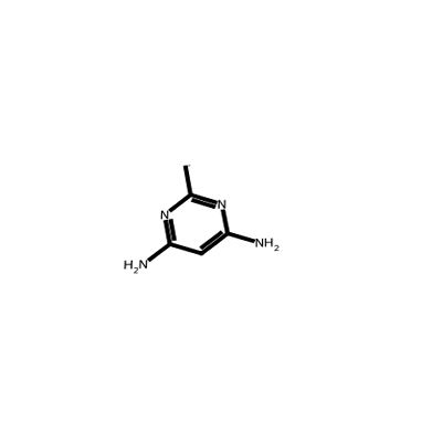 [CH2]c1nc(N)cc(N)n1